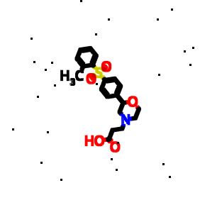 Cc1ccccc1S(=O)(=O)c1ccc(C2CN(CCC(=O)O)CCO2)cc1